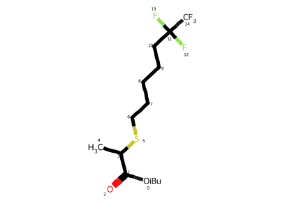 CC(C)COC(=O)C(C)SCCCCCC(F)(F)C(F)(F)F